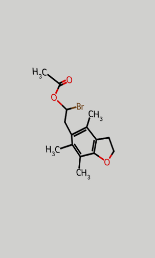 CC(=O)OC(Br)Cc1c(C)c(C)c2c(c1C)CCO2